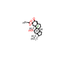 CCCC1OC2(C[C@@]3(C)C(=CC2=O)CC[C@H]2[C@@H]4CC[C@H](C(=O)O)[C@@]4(C)C[C@H](O)[C@@]23F)O1